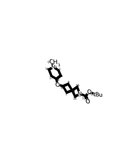 CN1CCC(OC2CC3(C2)CN(C(=O)OC(C)(C)C)C3)CC1